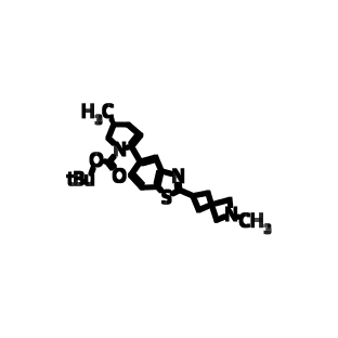 C[C@H]1CC=C(c2ccc3sc(C4CC5(C4)CN(C)C5)nc3c2)N(C(=O)OC(C)(C)C)C1